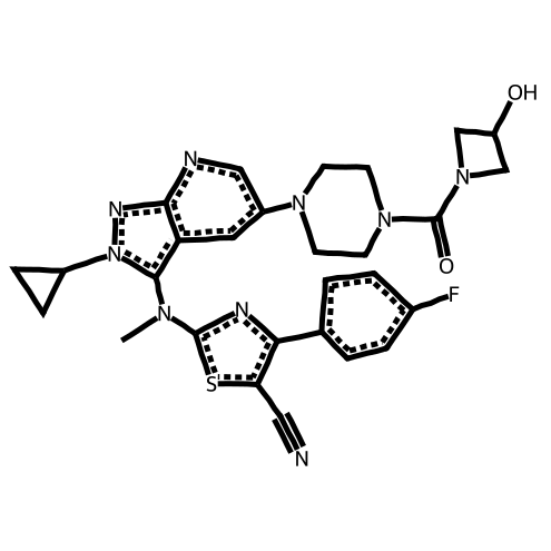 CN(c1nc(-c2ccc(F)cc2)c(C#N)s1)c1c2cc(N3CCN(C(=O)N4CC(O)C4)CC3)cnc2nn1C1CC1